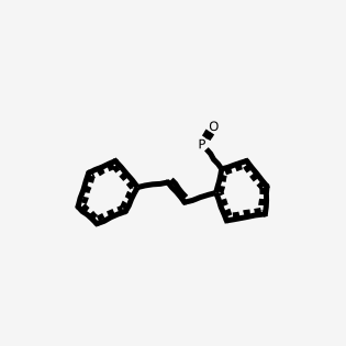 O=Pc1ccccc1C=Cc1ccccc1